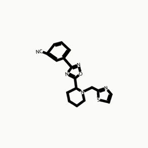 N#Cc1cccc(-c2noc(C3CCCCN3Cc3nccs3)n2)c1